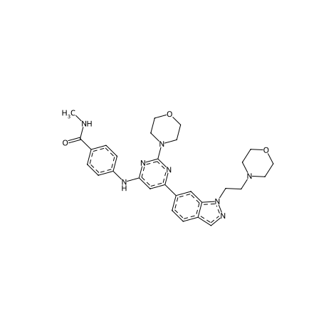 CNC(=O)c1ccc(Nc2cc(-c3ccc4cnn(CCN5CCOCC5)c4c3)nc(N3CCOCC3)n2)cc1